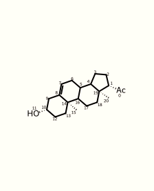 CC(=O)[C@H]1CCC2C3CC=C4C[C@@H](O)CC[C@]4(C)C3CC[C@@]21C